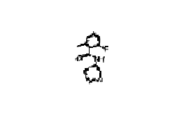 Cc1cccc(F)c1C(=O)Nc1cccnc1